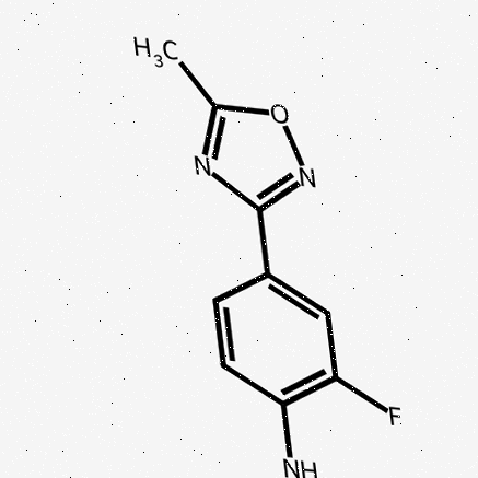 Cc1nc(-c2ccc(N)c(F)c2)no1